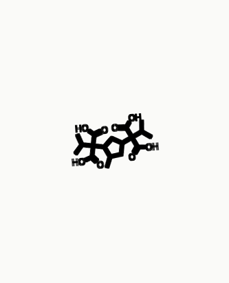 CC1CC(C(C(=O)O)(C(=O)O)C(C)C)CC1C(C(=O)O)(C(=O)O)C(C)C